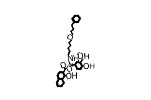 O=C(O[C@@H](CNCCCCCCOCCCCc1ccccc1)c1ccc(O)c(CO)c1)c1ccc2ccccc2c1O